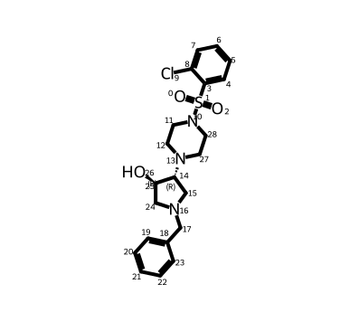 O=S(=O)(c1ccccc1Cl)N1CCN([C@@H]2CN(Cc3ccccc3)C[C@H]2O)CC1